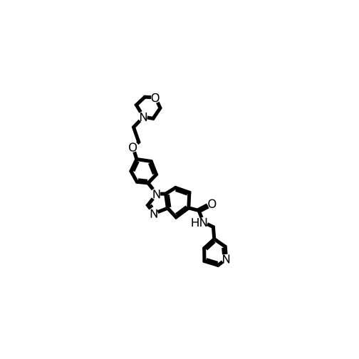 O=C(NCc1cccnc1)c1ccc2c(c1)ncn2-c1ccc(OCCN2CCOCC2)cc1